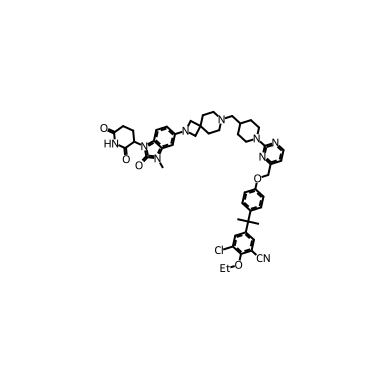 CCOc1c(Cl)cc(C(C)(C)c2ccc(OCc3ccnc(N4CCC(CN5CCC6(CC5)CN(c5ccc7c(c5)n(C)c(=O)n7C5CCC(=O)NC5=O)C6)CC4)n3)cc2)cc1C#N